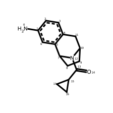 Nc1ccc2c(c1)C1CCC(C2)N1C(=O)C1CC1